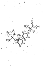 CC(C)(C)C(=O)O.CC(C)(C)C(=O)O.[Fe+2].c1cc[cH-]c1.c1cc[cH-]c1